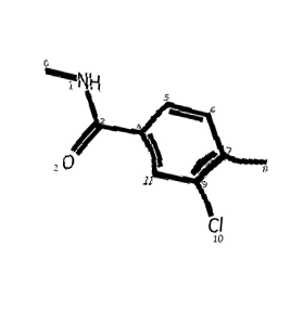 CNC(=O)c1ccc(C)c(Cl)c1